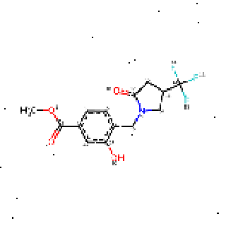 COC(=O)c1ccc(CN2CC(C(F)(F)F)CC2=O)c(O)c1